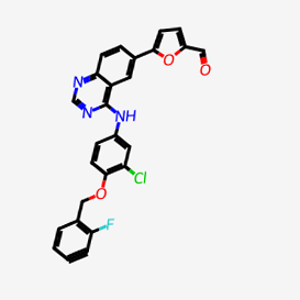 O=Cc1ccc(-c2ccc3ncnc(Nc4ccc(OCc5ccc#cc5F)c(Cl)c4)c3c2)o1